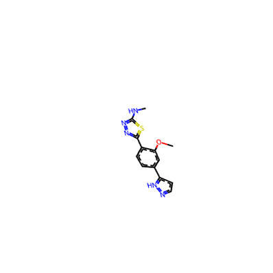 CNc1nnc(-c2ccc(-c3ccn[nH]3)cc2OC)s1